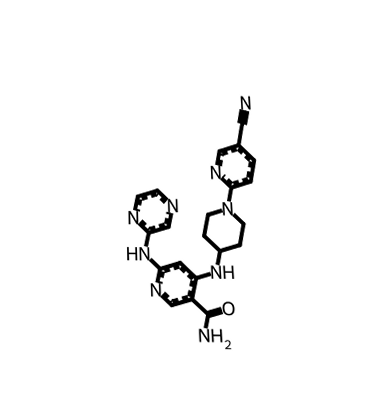 N#Cc1ccc(N2CCC(Nc3cc(Nc4cnccn4)ncc3C(N)=O)CC2)nc1